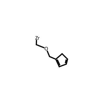 [Zr][CH2]OCC1=CC=CC1